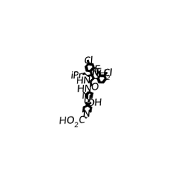 CC(C)C[C@@H]1NC(C(=O)Nc2ccn(CC3(O)CCN(CC(=O)O)CC3)n2)[C@H](c2cccc(Cl)c2F)[C@@]1(N)c1ccc(Cl)cc1F